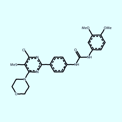 COc1ccc(NC(=O)Nc2ccc(-c3nc(Cl)c(SC)c(N4CCOCC4)n3)cc2)cc1OC